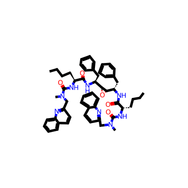 CCCC[C@H](NC(=O)N(C)Cc1ccc2ccccc2n1)C(=O)N[C@@H](Cc1ccccc1)[C@@H]1O[C@@H]1[C@H](Cc1ccccc1)NC(=O)[C@H](CCCC)NC(=O)N(C)Cc1ccc2ccccc2n1